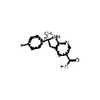 C[C@@]1(c2ccc(F)cc2)Cc2cc(C(=O)O)cnc2N1